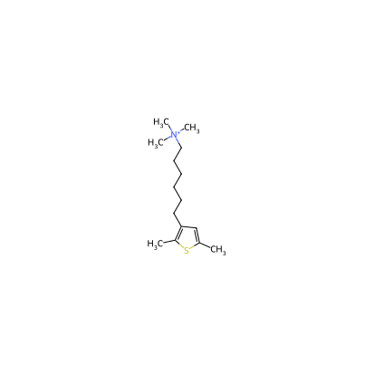 Cc1cc(CCCCCC[N+](C)(C)C)c(C)s1